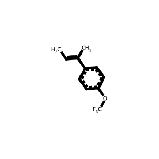 CC=C(C)c1ccc(OC(F)(F)F)cc1